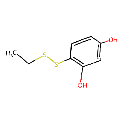 CCSSc1ccc(O)cc1O